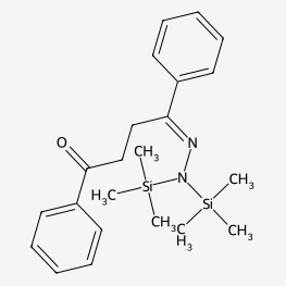 C[Si](C)(C)N(N=C(CCC(=O)c1ccccc1)c1ccccc1)[Si](C)(C)C